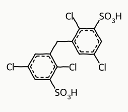 O=S(=O)(O)c1cc(Cl)cc(Cc2cc(Cl)cc(S(=O)(=O)O)c2Cl)c1Cl